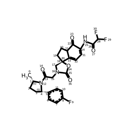 C[C@H]1CC[C@@H](c2ccc(F)cc2)N1C(=O)CN1C[C@]2(CCC3C(=O)C(NC(=O)C(F)F)=CC=C32)OC1=O